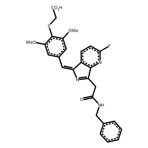 COc1cc(/C=C2/N=C(CC(=O)NCc3ccccc3)c3nc(F)ccc32)cc(OC)c1SCC(=O)O